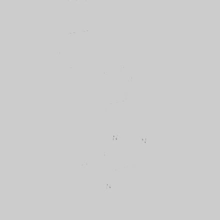 O=c1c2ncccc2ncn1Cc1cccc(-c2ccc3ccccc3c2)c1